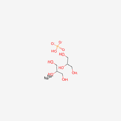 O=P([O-])([O-])O.OCC(O)CO.OCC(O)CO.[Na+].[Na+]